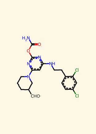 NC(=O)Oc1nc(NCCc2ccc(Cl)cc2Cl)cc(N2CCCC([C]=O)C2)n1